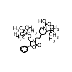 CC(C)(C)C1CC(CCN2C(=O)O[C@@H](c3ccccc3)[C@H]2CO[Si](C)(C)C(C)(C)C)CCN1C(=O)O